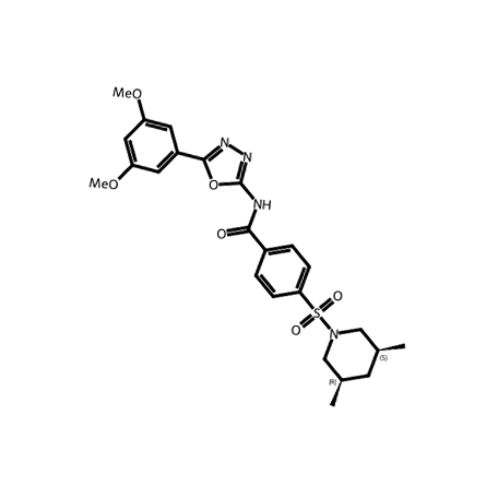 COc1cc(OC)cc(-c2nnc(NC(=O)c3ccc(S(=O)(=O)N4C[C@H](C)C[C@H](C)C4)cc3)o2)c1